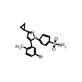 Cc1ccc(Br)cc1-c1cc(C2CC2)nn1-c1ccc(S(N)(=O)=O)cc1